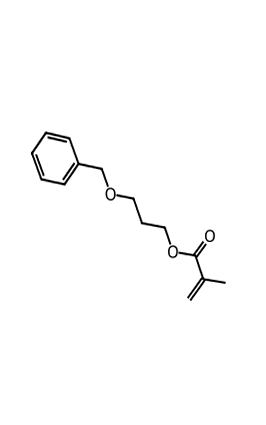 C=C(C)C(=O)OCCCOCc1ccccc1